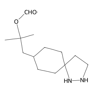 CC(C)(CC1CCC2(CCNN2)CC1)O[C]=O